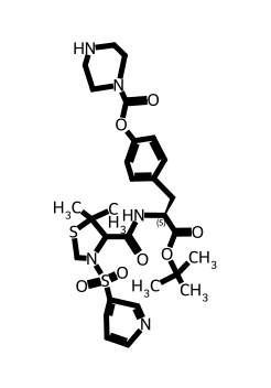 CC(C)(C)OC(=O)[C@H](Cc1ccc(OC(=O)N2CCNCC2)cc1)NC(=O)C1N(S(=O)(=O)c2cccnc2)CSC1(C)C